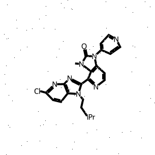 CC(C)CCn1c(-c2nccc3c2n(C)c(=O)n3-c2ccncc2)nc2nc(Cl)ccc21